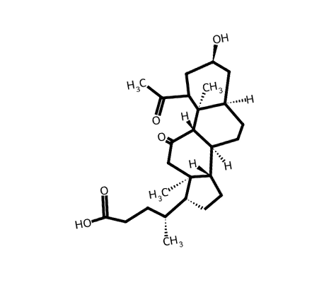 CC(=O)C1C[C@@H](O)C[C@H]2CC[C@H]3[C@@H]4CC[C@H]([C@H](C)CCC(=O)O)[C@@]4(C)CC(=O)[C@@H]3[C@@]12C